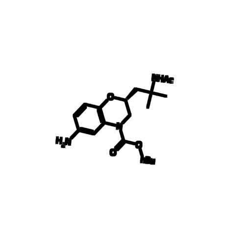 CCCCOC(=O)N1C[C@H](CC(C)(C)NC(C)=O)Oc2ccc(N)cc21